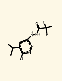 CC(C)c1cc(NNC(=O)C(F)(F)F)nnc1Cl